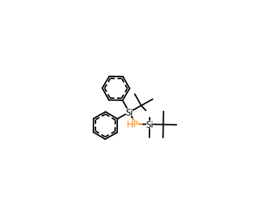 CC(C)(C)[Si](C)(C)P[Si](c1ccccc1)(c1ccccc1)C(C)(C)C